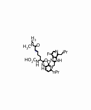 CCCc1ccc(NC(=O)C(CC/C=C/C(=O)N(C)C)NC(=O)O)c(=O)n1Cc1nc2c(F)cnc(CC(C)C)c2[nH]1